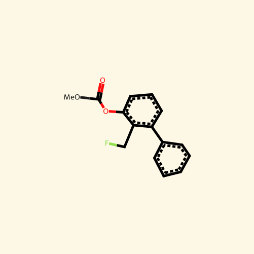 COC(=O)Oc1cccc(-c2ccccc2)c1CF